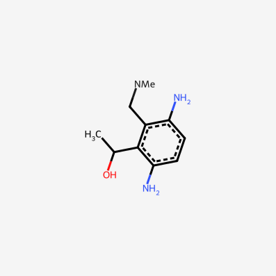 CNCc1c(N)ccc(N)c1C(C)O